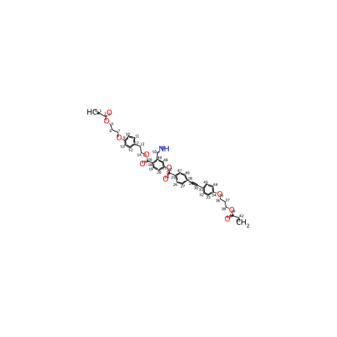 C#CC(=O)OCCCOc1ccc(CCOC(=O)c2ccc(OC(=O)c3ccc(C#Cc4ccc(OCCCOC(=O)C=C)cc4)cc3)cc2C=N)cc1